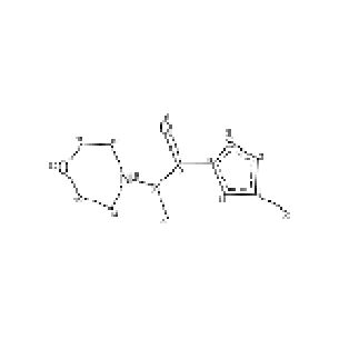 Cc1csc(C(=O)C(C)N2CCOCC2)c1